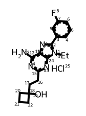 CCn1c(-c2cccc(F)c2)nc2c(N)nc(CCC3(O)CCC3)nc21.Cl